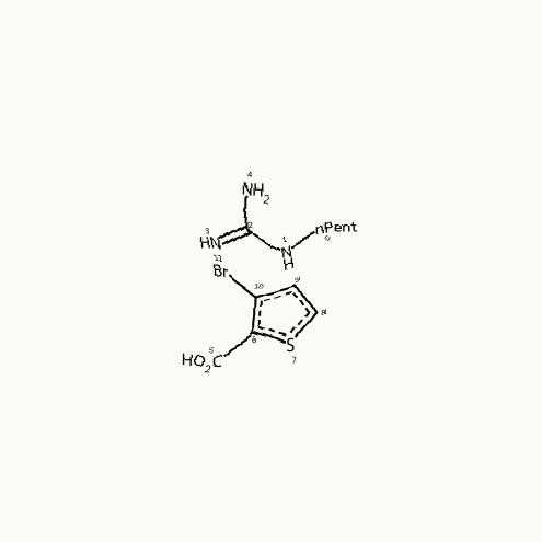 CCCCCNC(=N)N.O=C(O)c1sccc1Br